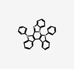 c1ccc(-n2c3ccccc3c3c4c5ccccc5n(-c5ccccc5)c4n4c5ccccc5nc4c32)cc1